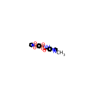 Cc1ccn(-c2ccc(C(=O)NS(=O)(=O)c3ccc(S(=O)(=O)N4CCCC4)cc3)cc2)n1